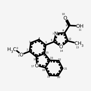 COc1ccc(-c2nc(C(=O)O)c(C)o2)c2c1oc1ccccc12